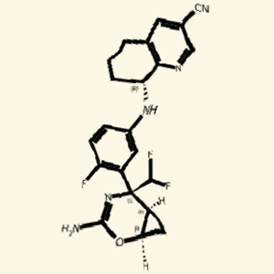 N#Cc1cnc2c(c1)CCC[C@H]2Nc1ccc(F)c([C@@]2(C(F)F)N=C(N)O[C@@H]3C[C@@H]32)c1